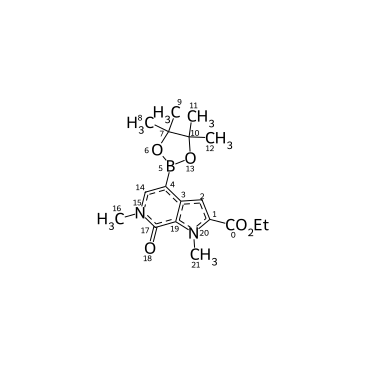 CCOC(=O)c1cc2c(B3OC(C)(C)C(C)(C)O3)cn(C)c(=O)c2n1C